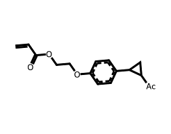 C=CC(=O)OCCOc1ccc(C2CC2C(C)=O)cc1